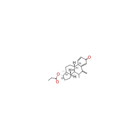 C=C1C2=CC(=O)C=C[C@]2(C)[C@H]2CC[C@]3(C)[C@@H](OC(=O)CC)CC[C@H]3[C@@H]2C1C